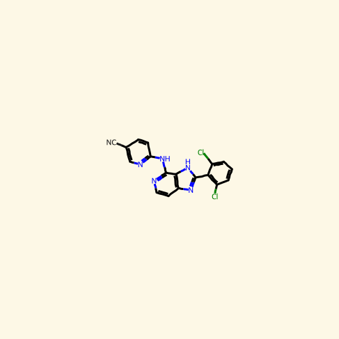 N#Cc1ccc(Nc2nccc3nc(-c4c(Cl)cccc4Cl)[nH]c23)nc1